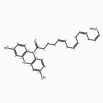 CCCCC/C=C\C/C=C\C/C=C\C/C=C\CCCC(=O)N1c2ccc(O)cc2Oc2cc(O)ccc21